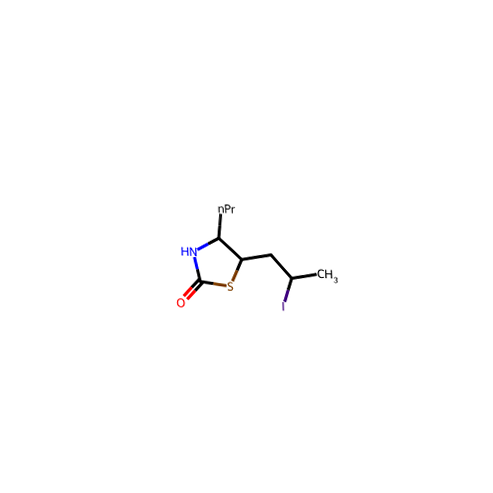 CCCC1NC(=O)SC1CC(C)I